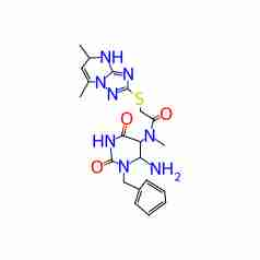 CC1=CC(C)Nc2nc(SCC(=O)N(C)C3C(=O)NC(=O)N(Cc4ccccc4)C3N)nn21